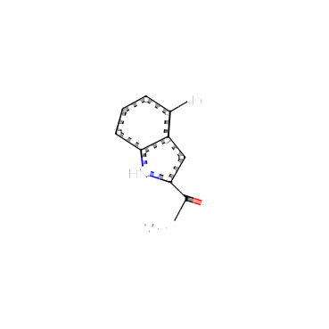 COC(=O)c1cc2c(C(C)C)cccc2[nH]1